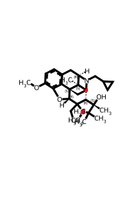 CCC1(OC)[C@@H]([C@](C)(O)C(C)(C)C)C[C@]2(C)[C@H]3Cc4ccc(OC)c5c4[C@@]2(CCN3CC2CC2)[C@H]1O5